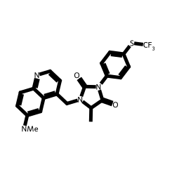 CNc1ccc2nccc(CN3C(=O)N(c4ccc(SC(F)(F)F)cc4)C(=O)C3C)c2c1